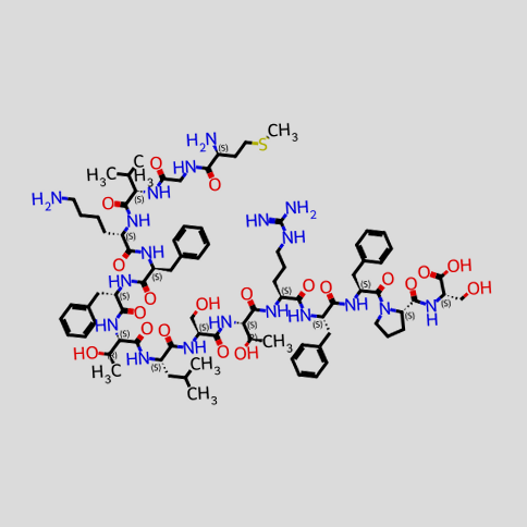 CSCC[C@H](N)C(=O)NCC(=O)N[C@H](C(=O)N[C@@H](CCCCN)C(=O)N[C@@H](Cc1ccccc1)C(=O)N[C@@H](Cc1ccccc1)C(=O)N[C@H](C(=O)N[C@@H](CC(C)C)C(=O)N[C@@H](CO)C(=O)N[C@H](C(=O)N[C@@H](CCCNC(=N)N)C(=O)N[C@@H](Cc1ccccc1)C(=O)N[C@@H](Cc1ccccc1)C(=O)N1CCC[C@H]1C(=O)N[C@@H](CO)C(=O)O)[C@@H](C)O)[C@@H](C)O)C(C)C